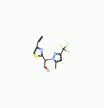 C=Cc1csc(C([C]=O)n2nc(C(F)(F)F)cc2C)n1